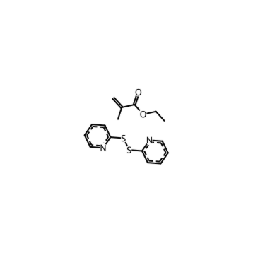 C=C(C)C(=O)OCC.c1ccc(SSc2ccccn2)nc1